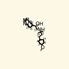 COc1ccc(CCC(C)(C)NC[C@H](O)c2ccc3nnnn3c2)cc1